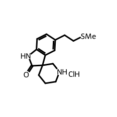 CSCCc1ccc2c(c1)C1(CCCNC1)C(=O)N2.Cl